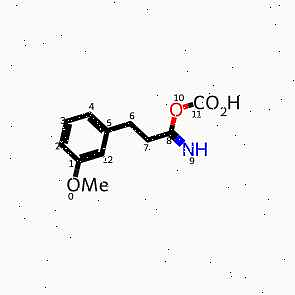 COc1cccc(CCC(=N)OC(=O)O)c1